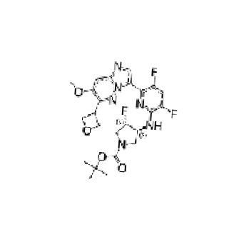 COc1cc2ncc(-c3nc(N[C@H]4CN(C(=O)OC(C)(C)C)C[C@@H]4F)c(F)cc3F)n2nc1C1COC1